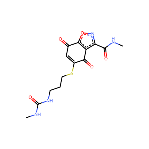 CNC(=O)NCCCSC1=CC(=O)c2onc(C(=O)NC)c2C1=O